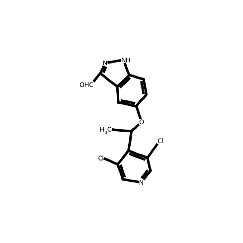 CC(Oc1ccc2[nH]nc(C=O)c2c1)c1c(Cl)cncc1Cl